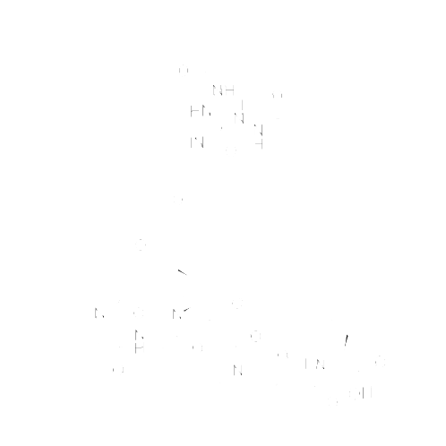 C#CC(=O)NNP(=O)(NCCOCCOCCC(=O)N(C)[C@H](C(=O)N[C@H](C(=O)N(C)[C@@H]([C@@H](C)CC)[C@@H](CC(=O)N1CCC[C@H]1[C@H](OC)[C@@H](C)C(=O)N[C@@H](Cc1ccccc1)C(=O)O)OC)C(C)C)C(C)C)NNC(=O)C#C